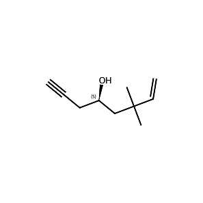 C#CC[C@@H](O)CC(C)(C)C=C